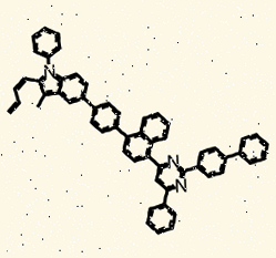 C=C/C=C\c1c(C)c2cc(-c3ccc(-c4ccc(-c5cc(-c6ccccc6)nc(-c6ccc(-c7ccccc7)cc6)n5)c5ccccc45)cc3)ccc2n1-c1ccccc1